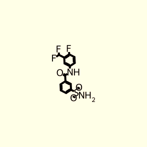 NS(=O)(=O)c1cccc(C(=O)Nc2ccc(F)c(C(F)F)c2)c1